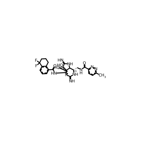 Cc1ccc(C(=O)NC[C@@H]2NC(=N)N3CC(NC(=O)c4cccc5c4CCCC5(F)F)C(O)(O)[C@@]34NC(=N)NC24)nn1